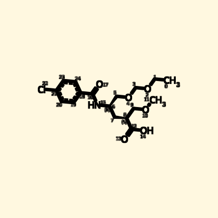 CCOCOC[C@@H](C[C@@H](COC)C(=O)O)NC(=O)c1ccc(Cl)cc1